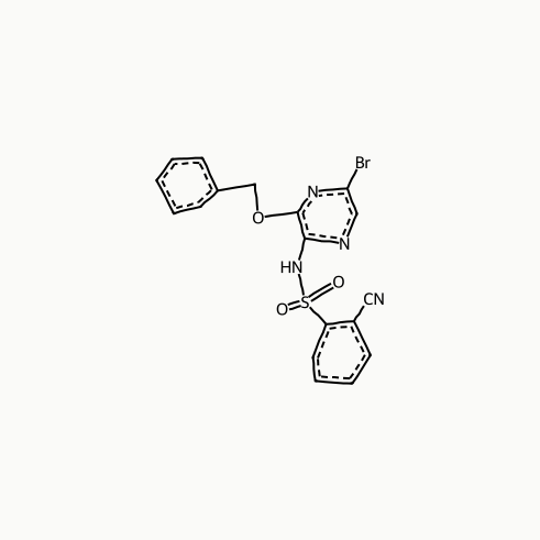 N#Cc1ccccc1S(=O)(=O)Nc1ncc(Br)nc1OCc1ccccc1